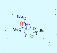 C=C(CCl)C[C@@]1(C(=O)OC)CC(O[Si](C)(C)C(C)(C)C)CN1C(=O)OC(C)(C)C